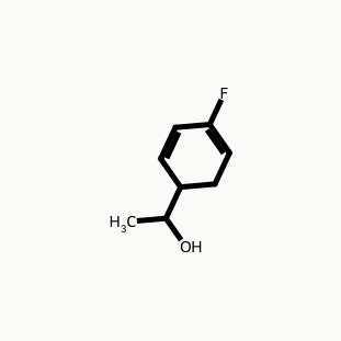 CC(O)C1C=CC(F)=CC1